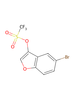 O=S(=O)(Oc1coc2ccc(Br)cc12)C(F)(F)F